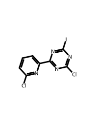 Clc1cccc(-c2nc(Cl)nc(I)n2)n1